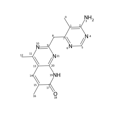 Cc1c(N)ncnc1Cc1nc(C)c2cc(C)c(=O)[nH]c2n1